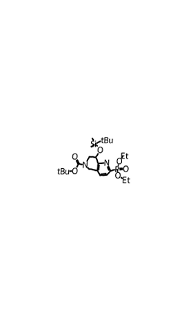 CCOP(=O)(OCC)c1ccc2c(n1)C(O[Si](C)(C)C(C)(C)C)CN(C(=O)OC(C)(C)C)C2